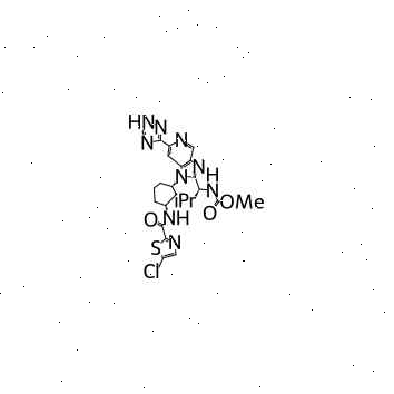 COC(=O)N[C@H](c1nc2cnc(-c3nc[nH]n3)cc2n1[C@@H]1CCC[C@H](NC(=O)c2ncc(Cl)s2)C1)C(C)C